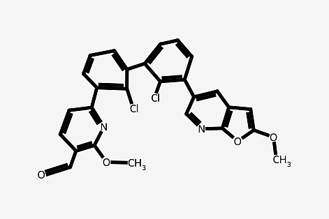 COc1cc2cc(-c3cccc(-c4cccc(-c5ccc(C=O)c(OC)n5)c4Cl)c3Cl)cnc2o1